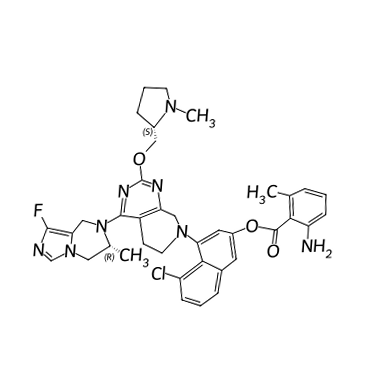 Cc1cccc(N)c1C(=O)Oc1cc(N2CCc3c(nc(OC[C@@H]4CCCN4C)nc3N3Cc4c(F)ncn4C[C@H]3C)C2)c2c(Cl)cccc2c1